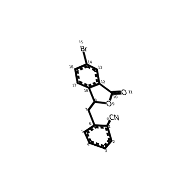 N#Cc1ccccc1CC1OC(=O)c2cc(Br)ccc21